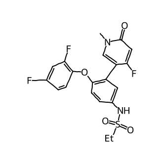 CCS(=O)(=O)Nc1ccc(Oc2ccc(F)cc2F)c(-c2cn(C)c(=O)cc2F)c1